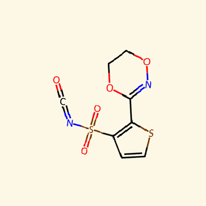 O=C=NS(=O)(=O)c1ccsc1C1=NOCCO1